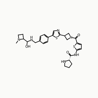 CN1CCC1C(O)NCc1ccc(-c2cnc(C3CN(C(=O)c4ccc(NC(=O)[C@@H]5CCCN5)s4)C3)s2)cc1